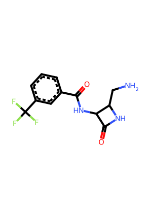 NCC1NC(=O)C1NC(=O)c1cccc(C(F)(F)F)c1